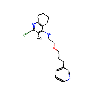 O=[N+]([O-])c1c(Cl)nc2c(c1NCCOCCCc1cccnc1)CCCC2